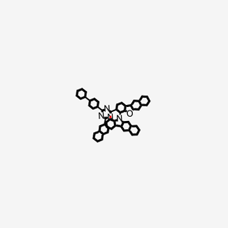 c1ccc(-c2ccc(-c3nc(-c4ccc5ccccc5c4)nc(-c4ccc5c(oc6cc7ccccc7cc65)c4-n4c5ccccc5c5cc6ccccc6cc54)n3)cc2)cc1